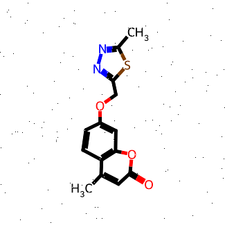 Cc1nnc(COc2ccc3c(C)cc(=O)oc3c2)s1